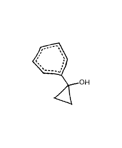 OC1(c2ccccc2)CC1